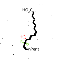 CCCCC/C=C\C(F)(F)[C@H](O)/C=C/C=C\CCCCCCC(=O)O